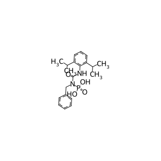 CC(C)c1cccc(C(C)C)c1NC(=O)N(Cc1ccccc1)P(=O)(O)O